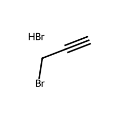 Br.C#CCBr